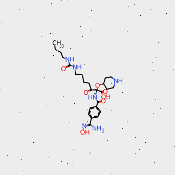 CCCCNC(=O)NCCCCC(=O)C(NC(=O)c1ccc(C(N)=NO)cc1)(OC1CCNCC1)C(=O)O